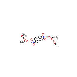 COCCO[C@H](C)COCCCN1C(=O)c2ccc3c4ccc5c6c(ccc(c7ccc(c2c37)C1=O)c64)C(=O)N(CCCOC[C@@H](C)OCCOC)C5=O